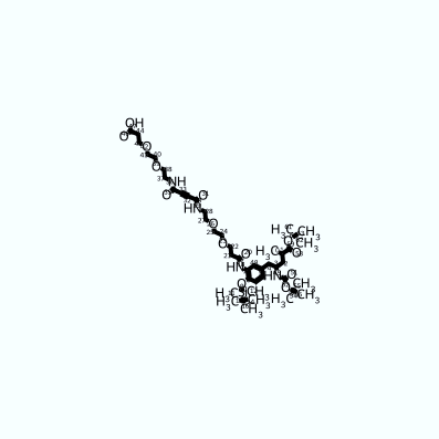 CC(CC(Cc1ccc(O[Si](C)(C)C(C)(C)C)c(NC(=O)CCOCCOCCNC(=O)C#CC(=O)NCCOCCOCCC(=O)O)c1)NC(=O)OC(C)(C)C)C(=O)OC(C)(C)C